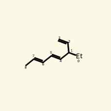 [CH2]CC(C=C)C=CC=CC